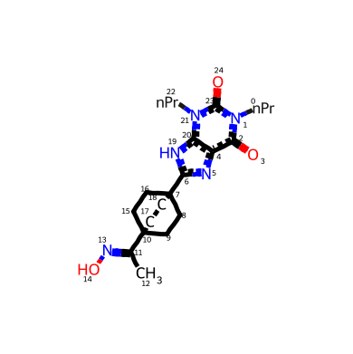 CCCn1c(=O)c2nc(C34CCC(C(C)=NO)(CC3)CC4)[nH]c2n(CCC)c1=O